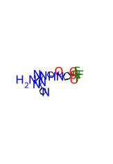 Nc1nc(-c2cccnc2)nc2c1ncn2[C@H]1CC[C@@H](C(=O)Nc2ccc(S(=O)(=O)C(F)(F)F)cc2)CC1